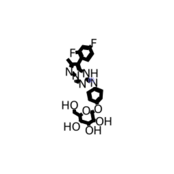 Cc1nn2cn/c(=N\c3ccc(OC4OC(CO)C(O)C(O)C4O)cc3)[nH]c2c1-c1ccc(F)cc1F